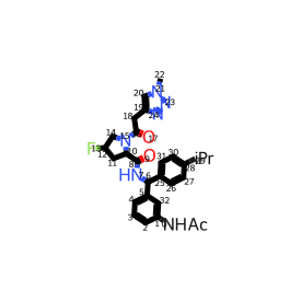 CC(=O)Nc1cccc(C(NC(=O)C2CC(F)CN2C(=O)Cc2cn(C)nn2)c2ccc(C(C)C)cc2)c1